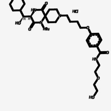 CCCCN1C(=O)[C@@H]([C@H](O)C2CCCCC2)NC(=O)C12CCN(CCCCOc1ccc(C(=O)NCCOCCO)cc1)CC2.Cl